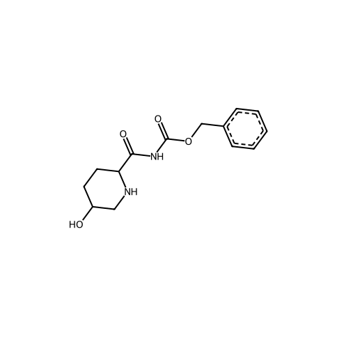 O=C(NC(=O)C1CCC(O)CN1)OCc1ccccc1